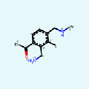 CCC(=O)c1ccc(CNC(C)C)c(C)c1CN